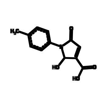 Cc1ccc(N2C(=O)C=C(C(=O)O)C2O)cc1